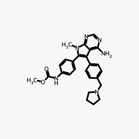 COC(=O)Nc1ccc(-c2c(-c3ccc(CN4CCCC4)cc3)c3c(N)ncnc3n2C)cc1